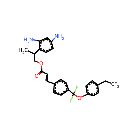 [CH2]C(COC(=O)/C=C/c1ccc(C(F)(F)Oc2ccc(CC(F)(F)F)cc2)cc1)c1ccc(N)cc1N